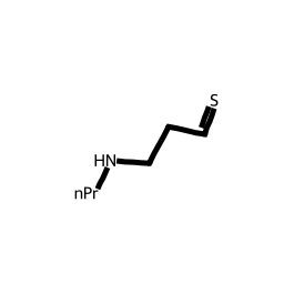 CCCNCCC=S